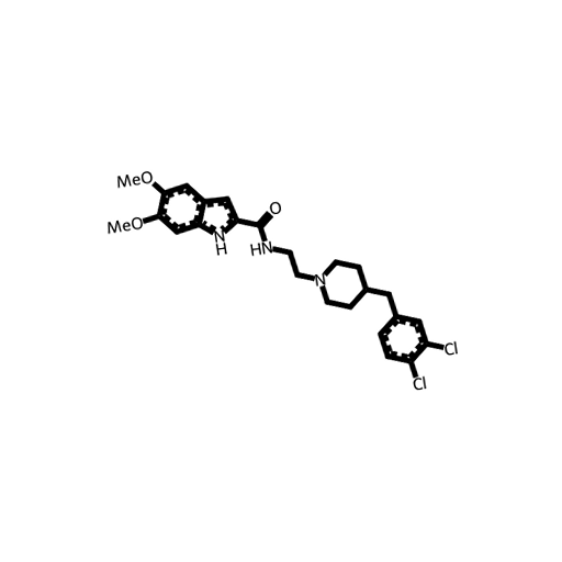 COc1cc2cc(C(=O)NCCN3CCC(Cc4ccc(Cl)c(Cl)c4)CC3)[nH]c2cc1OC